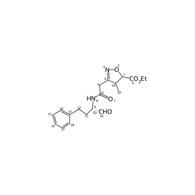 CCOC(=O)C1ON=C(CC(=O)N[C@H](C=O)CCc2ccccc2)C1C